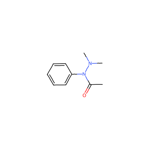 CC(=O)N(c1ccccc1)N(C)C